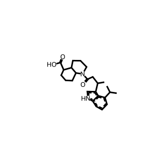 CC(C)c1cccc2[nH]cc(C(C)CC(=O)N3CCCC4C(C(=O)O)CCCC43)c12